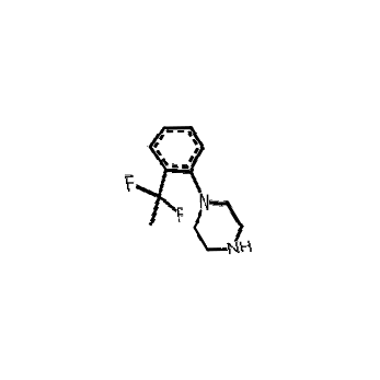 CC(F)(F)c1ccccc1N1CCNCC1